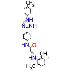 Cc1cccc(C)c1N/C=C/C(=O)Nc1ccc(C(=N)/N=C\Nc2ccc(C(F)(F)F)cc2)cc1